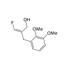 COc1cccc(CC(=CF)CO)c1OC